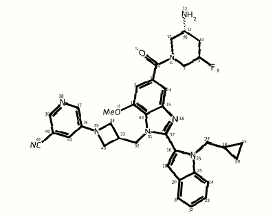 COc1cc(C(=O)N2CC(F)C[C@@H](N)C2)cc2nc(-c3cc4ccccc4n3CC3CC3)n(CC3CN(c4cncc(C#N)c4)C3)c12